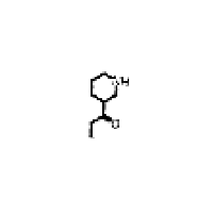 [CH2]CC(=O)C1CCCNC1